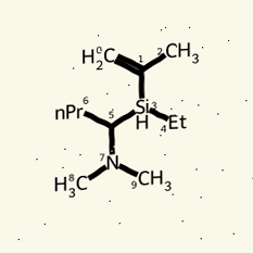 C=C(C)[SiH](CC)C(CCC)N(C)C